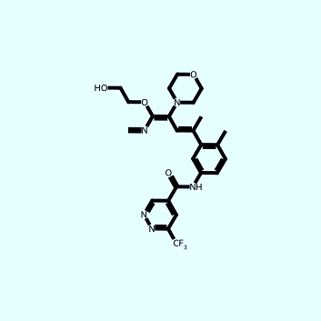 C=N/C(OCCO)=C(\C=C(/C)c1cc(NC(=O)c2cnnc(C(F)(F)F)c2)ccc1C)N1CCOCC1